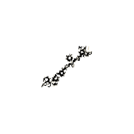 CCOc1ncccc1C(=O)N1CCOC2(CCN(Cc3cccc(CCOCCC(=O)N(CCNCCc4ccc(O)c5c4OCC(=O)N5)C4CCCCC4)c3)CC2)C1